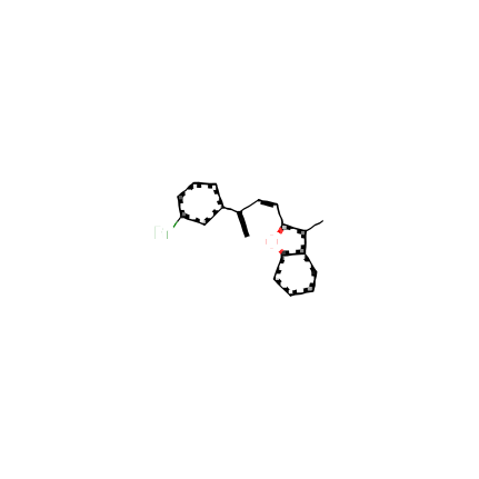 C=C(/C=C\c1oc2ccccc2c1C)c1cccc(Br)c1